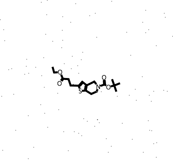 CCOC(=O)CCc1cc2c(s1)CCN(C(=O)OC(C)(C)C)C2